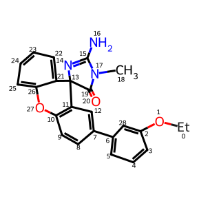 CCOc1cccc(-c2ccc3c(c2)C2(N=C(N)N(C)C2=O)c2ccccc2O3)c1